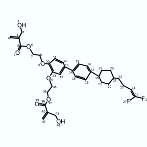 C=C(CO)C(=O)OCCOc1ccc(-c2ccc(C3CCC(CCC=C(F)F)CC3)cc2)cc1OCCOC(=O)C(=C)CO